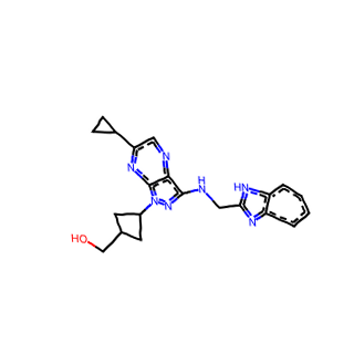 OCC1CC(n2nc(NCc3nc4ccccc4[nH]3)c3ncc(C4CC4)nc32)C1